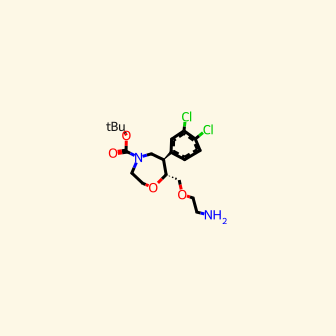 CC(C)(C)OC(=O)N1CCO[C@@H](COCCN)[C@H](c2ccc(Cl)c(Cl)c2)C1